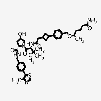 Cc1ncsc1-c1ccc(CNC(=O)[C@@H]2C[C@@H](O)CN2C(=O)[C@@H](NC(=O)CC2CC(c3ccc(CO[C@H](C)CCCC(N)=O)cc3)C2)C(C)(C)C)cc1